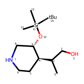 CC(CO)[C@H]1CCNC[C@@H]1O[Si](C)(C)C(C)(C)C